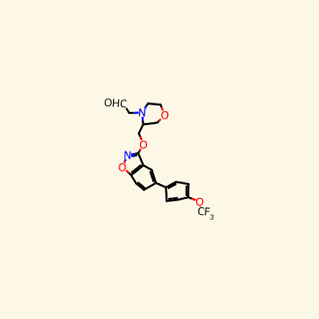 O=CCN1CCOCC1COc1noc2ccc(-c3ccc(OC(F)(F)F)cc3)cc12